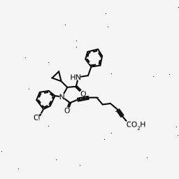 O=C(O)C#CCCCC#CC(=O)N(c1cccc(Cl)c1)C(C(=O)NCc1ccccc1)C1CC1